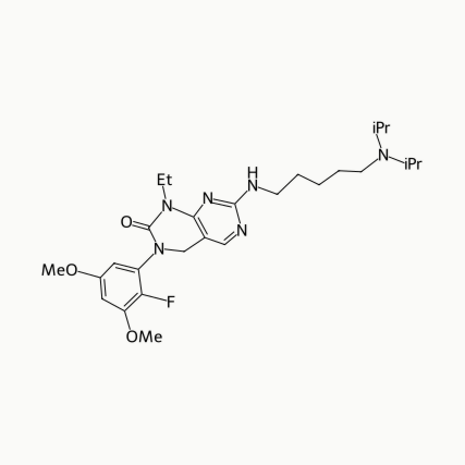 CCN1C(=O)N(c2cc(OC)cc(OC)c2F)Cc2cnc(NCCCCCN(C(C)C)C(C)C)nc21